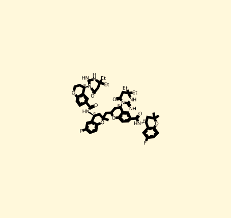 CCC1(CC)CC(=O)N([C@@H]2CCOc3ccc(C(=O)N[C@H]4CC(C)(CC5C[C@@H](N6C(=N)NC(CC)(CC)CC6=O)c6cc(C(=O)N[C@@H]7CC(C)(C)Oc8ccc(F)cc87)ccc6O5)Oc5ccc(F)cc54)cc32)C(=N)N1